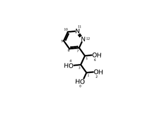 OC(O)C(O)C(O)c1cccnn1